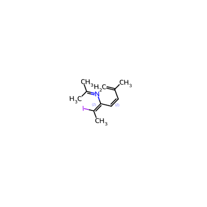 C=C(C)/C=C\C(N=C(C)C)=C(/C)I